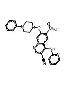 N#Cc1cnc2cc(ON3CCN(c4ccccc4)CC3)c([N+](=O)[O-])cc2c1Nc1ccccn1